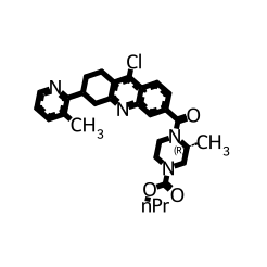 CCCOC(=O)N1CCN(C(=O)c2ccc3c(Cl)c4c(nc3c2)CC(c2ncccc2C)CC4)[C@H](C)C1